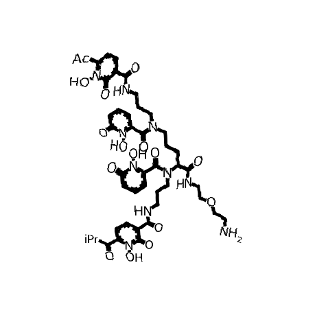 CC(=O)c1ccc(C(=O)NCCCN(CCCC(C(=O)NCCOCCN)N(CCCNC(=O)c2ccc(C(=O)C(C)C)n(O)c2=O)C(=O)c2cccc(=O)n2O)C(=O)c2cccc(=O)n2O)c(=O)n1O